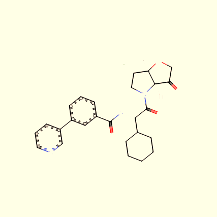 O=C(N[C@H](C(=O)N1C[C@H](Cl)[C@H]2OCC(=O)[C@H]21)C1CCCCC1)c1cccc(-c2cccnc2)c1